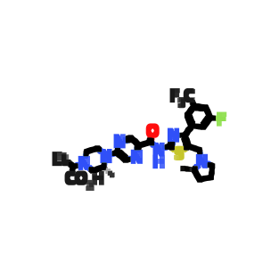 CCC(C(=O)O)N1CCN(c2cnc(C(=O)Nc3nc(-c4cc(F)cc(C(F)(F)F)c4)c(CN4CCC[C@H]4C)s3)cn2)[C@H](C)C1